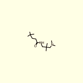 CN(C)CC(C)(C)CNC(=O)CCC(C)(C)C